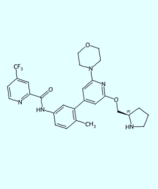 Cc1ccc(NC(=O)c2cc(C(F)(F)F)ccn2)cc1-c1cc(OC[C@H]2CCCN2)nc(N2CCOCC2)c1